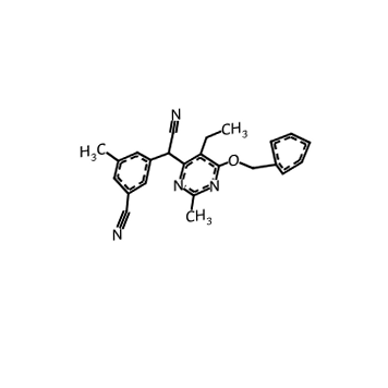 CCc1c(OCc2ccccc2)nc(C)nc1C(C#N)c1cc(C)cc(C#N)c1